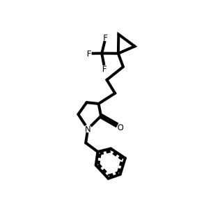 O=C1C(CCCC2(C(F)(F)F)CC2)CCN1Cc1ccccc1